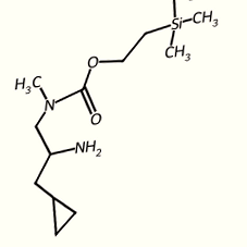 CN(CC(N)CC1CC1)C(=O)OCC[Si](C)(C)C